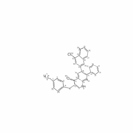 Cc1ccc(Cc2c[nH]c3nc(-c4ccccc4)c(-c4cc(Cl)c5ncccc5c4)cc3c2=O)cc1